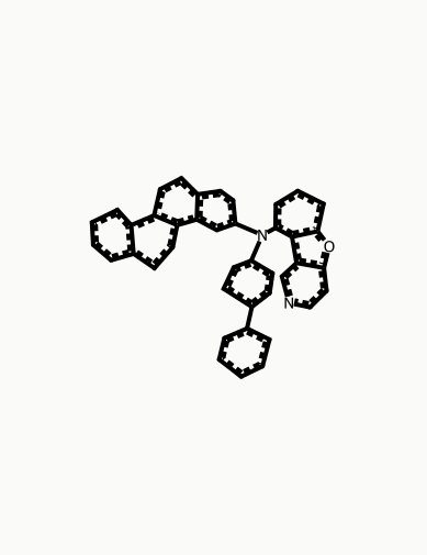 c1ccc(-c2ccc(N(c3ccc4ccc5c6ccccc6ccc5c4c3)c3cccc4oc5ccncc5c34)cc2)cc1